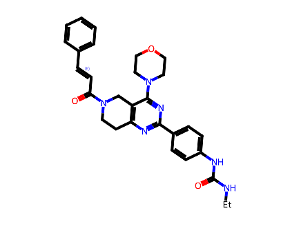 CCNC(=O)Nc1ccc(-c2nc3c(c(N4CCOCC4)n2)CN(C(=O)/C=C/c2ccccc2)CC3)cc1